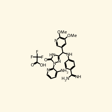 COc1cc(C(Nc2ccc(C(=N)N)cc2)c2nn(-c3ncccc3N)c(=O)[nH]2)cnc1OC.O=C(O)C(F)(F)F